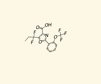 CCC(F)(F)c1oc(-c2ccccc2OC(F)(F)F)nc1C(=O)O